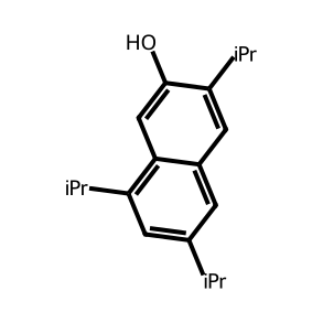 CC(C)c1cc(C(C)C)c2cc(O)c(C(C)C)cc2c1